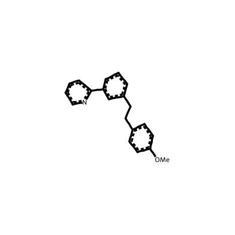 COc1ccc(CCc2cccc(-c3ccccn3)c2)cc1